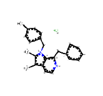 Cc1ccc(Cn2c(C)c(C)c3ccnc(Cc4ccccc4)c32)cc1.Cl